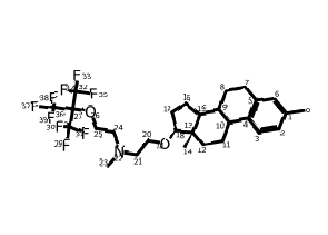 Cc1ccc2c(c1)CCC1C2CC[C@@]2(C)C1CC[C@@H]2OCCN(C)CCOC(C(F)(F)F)(C(F)(F)F)C(F)(F)F